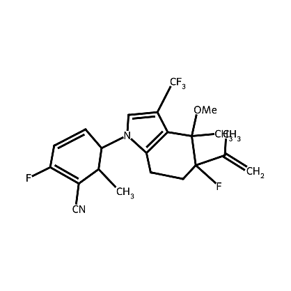 C=C(C)C1(F)CCc2c(c(C(F)(F)F)cn2C2C=CC(F)=C(C#N)C2C)C1(C)OC